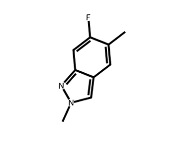 Cc1cc2cn(C)nc2cc1F